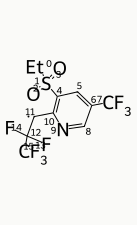 CCS(=O)(=O)c1cc(C(F)(F)F)cnc1[CH]C(F)(F)C(F)(F)F